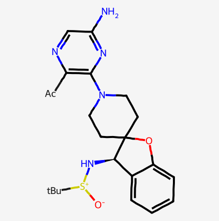 CC(=O)c1ncc(N)nc1N1CCC2(CC1)Oc1ccccc1[C@H]2N[S+]([O-])C(C)(C)C